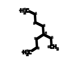 [CH2]CCCC(CC)CC[CH2]